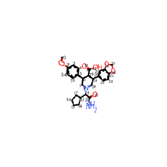 COc1ccc(C2CN(C(C(N)=O)C3CCCC3)CC(c3ccc4c(c3)OCO4)C2C(=O)O)cc1